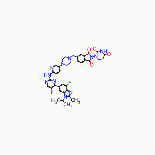 Cc1nc2c(F)cc(-c3nc(Nc4ccc(N5CCN(Cc6ccc7c(c6)C(=O)N(N6CCC(=O)NC6=O)C7=O)CC5)cn4)ncc3F)cc2n1C(C)C